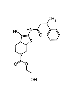 CC(CC(=O)NC1=C(C#N)C2CCN(C(=O)OCCO)CC2S1)c1ccccc1